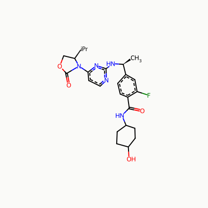 CC(C)C1COC(=O)N1c1ccnc(N[C@@H](C)c2ccc(C(=O)NC3CCC(O)CC3)c(F)c2)n1